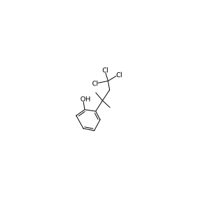 CC(C)(CC(Cl)(Cl)Cl)c1ccccc1O